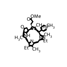 CCC1=C(C)c2cc3[nH]c(c(C)c3CC)c(-c3cc[n+](C)cc3)c3nc(c4c5[nH]c(cc1n2)c(C)c5C(=O)C4)[C@@H](CCC(=O)OC)[C@@H]3C